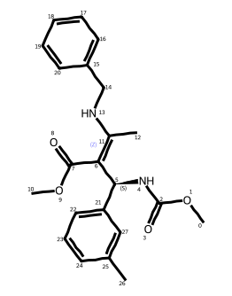 COC(=O)N[C@H](/C(C(=O)OC)=C(\C)NCc1ccccc1)c1cccc(C)c1